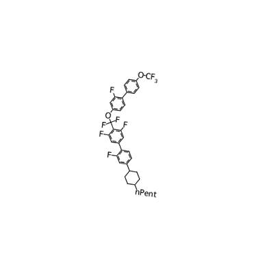 CCCCCC1CCC(c2ccc(-c3cc(F)c(C(F)(F)Oc4ccc(-c5ccc(OC(F)(F)F)cc5)c(F)c4)c(F)c3)c(F)c2)CC1